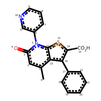 Cc1cc(=O)n(-c2cccnc2)c2sc(C(=O)O)c(-c3ccccc3)c12